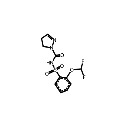 O=C(NS(=O)(=O)c1ccccc1OC(F)F)N1CCC=N1